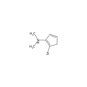 C[SiH](C)C1=[C]([Zr])CC=C1